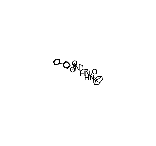 O=C(NCC1CCN(S(=O)(=O)c2ccc(-c3ccccc3)cc2)CC1)NC12CC3CC(CC(C3)C1)C2